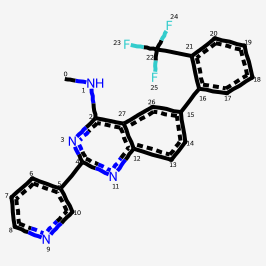 CNc1nc(-c2cccnc2)nc2ccc(-c3ccccc3C(F)(F)F)cc12